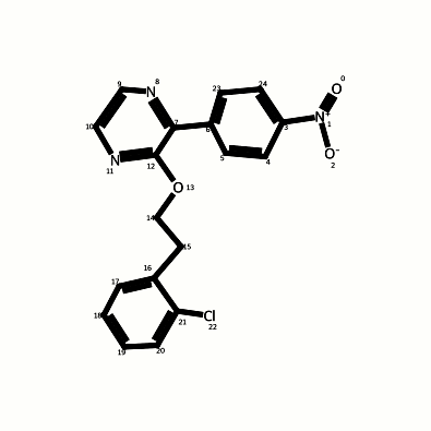 O=[N+]([O-])c1ccc(-c2nccnc2OCCc2ccccc2Cl)cc1